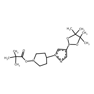 CC(C)(C)C(=O)ON1CCC(n2cc(B3OC(C)(C)C(C)(C)O3)cn2)CC1